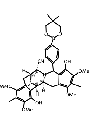 COc1c(C)c(OC)c2c(c1O)C(c1ccc(B3OCC(C)(C)CO3)cc1)N1[C@@H](C#N)[C@H]3Cc4c(OC)c(C)c(OC)c(O)c4[C@@H]([C@@H]1C2)N3C